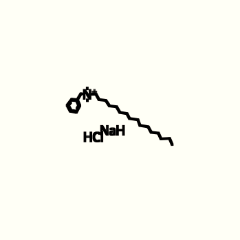 CCCCCCCCCCCCCCCC[N+](C)(C)Cc1ccccc1.Cl.[NaH]